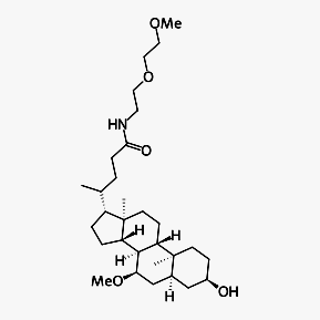 COCCOCCNC(=O)CCC(C)[C@H]1CC[C@H]2[C@@H]3[C@H](OC)C[C@@H]4C[C@H](O)CC[C@]4(C)[C@H]3CC[C@]12C